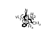 Cc1c(C#N)nc(C(N)C(C)C)n(Cc2ccccc2)c1=O